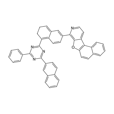 C1=c2cc(-c3nccc4c3oc3ccc5ccccc5c34)ccc2=C(c2nc(-c3ccccc3)nc(-c3ccc4ccccc4c3)n2)CC1